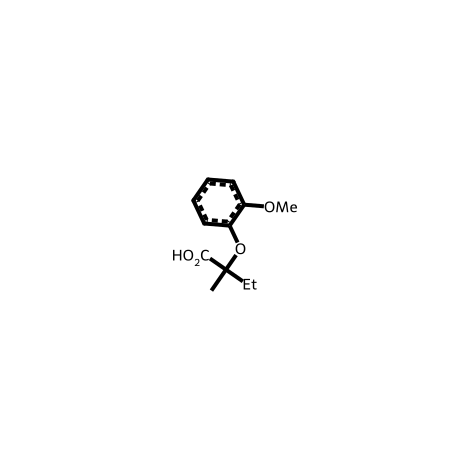 CCC(C)(Oc1ccccc1OC)C(=O)O